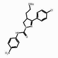 COCCC1CN(C(=O)Nc2ccc([N+](=O)[O-])cc2)N=C1c1ccc(Cl)cc1